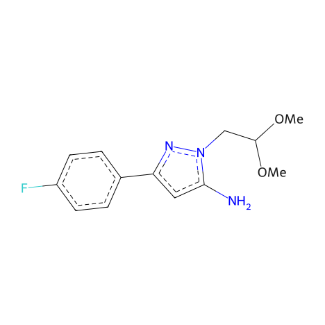 COC(Cn1nc(-c2ccc(F)cc2)cc1N)OC